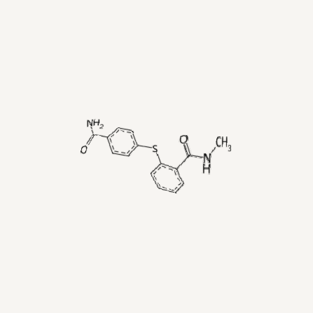 CNC(=O)c1ccccc1Sc1ccc(C(N)=O)cc1